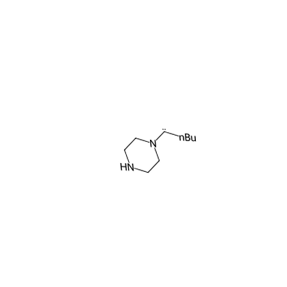 CCCC[C]N1CCNCC1